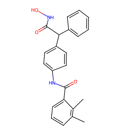 Cc1cccc(C(=O)Nc2ccc(C(C(=O)NO)c3ccccc3)cc2)c1C